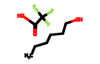 CCCCCCO.O=C(O)C(F)(F)F